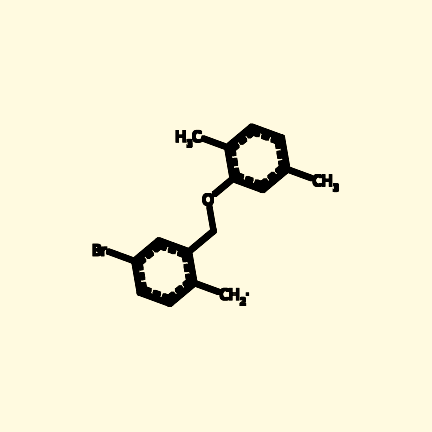 [CH2]c1ccc(Br)cc1COc1cc(C)ccc1C